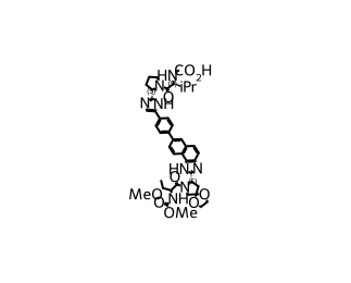 COC(=O)NC(C(=O)N1CC2(C[C@H]1c1nc3ccc4cc(-c5ccc(-c6cnc([C@@H]7CCCN7C(=O)[C@@H](NC(=O)O)C(C)C)[nH]6)cc5)ccc4c3[nH]1)OCCO2)C(C)OC